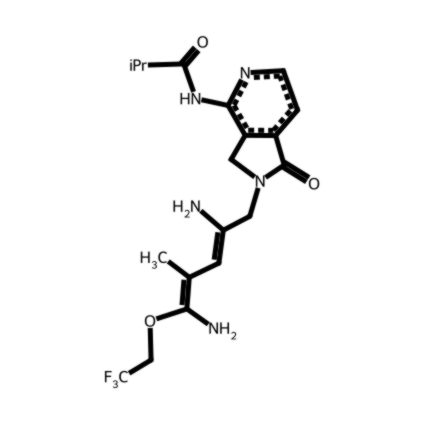 CC(/C=C(\N)CN1Cc2c(ccnc2NC(=O)C(C)C)C1=O)=C(/N)OCC(F)(F)F